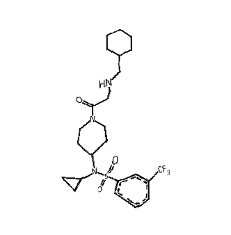 O=C(CNCC1CCCCC1)N1CCC(N(C2CC2)S(=O)(=O)c2cccc(C(F)(F)F)c2)CC1